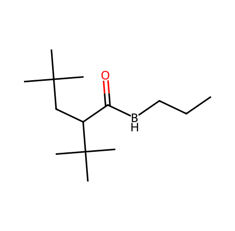 CCCBC(=O)C(CC(C)(C)C)C(C)(C)C